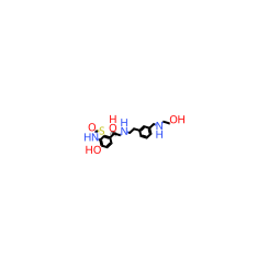 O=c1[nH]c2c(O)ccc([C@@H](O)CNCCc3cccc(CNCCO)c3)c2s1